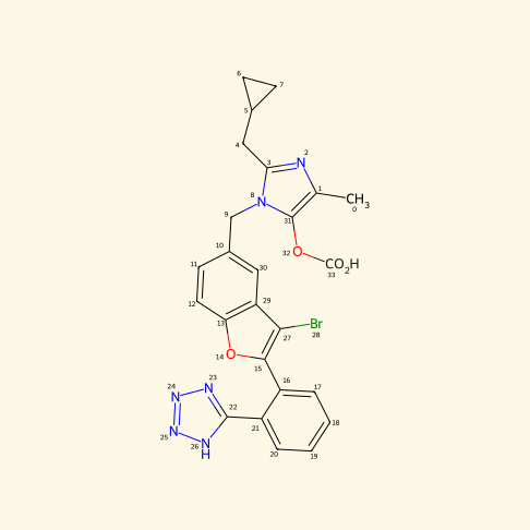 Cc1nc(CC2CC2)n(Cc2ccc3oc(-c4ccccc4-c4nnn[nH]4)c(Br)c3c2)c1OC(=O)O